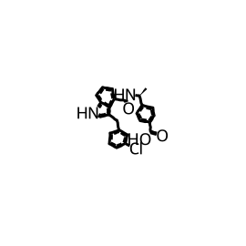 C[C@H](NC(=O)c1cccc2[nH]cc(Cc3cccc(Cl)c3)c12)c1ccc(C(=O)O)cc1